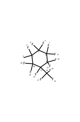 CC1(F)C(F)(F)C(F)(F)C(F)(F)C(F)(C(F)(F)F)C1(F)F